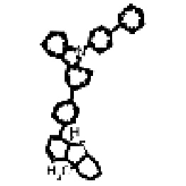 CC12CCCCC1S[C@@H]1C(c3ccc(-c4ccc5c(c4)c4ccccc4n5-c4ccc(-c5ccccc5)cc4)cc3)=CC=CC12